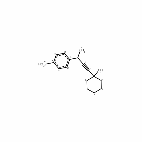 CC(C#CC1(O)CCCCC1)c1ccc(S(=O)(=O)O)cc1